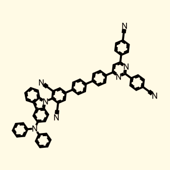 N#Cc1ccc(-c2cc(-c3ccc(-c4ccc(-c5cc(C#N)c(-n6c7ccccc7c7cc(N(c8ccccc8)c8ccccc8)ccc76)c(C#N)c5)cc4)cc3)nc(-c3ccc(C#N)cc3)n2)cc1